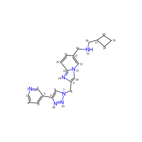 c1cncc(-c2cn(Cc3cn4cc(CNCC5CCC5)ccc4n3)nn2)c1